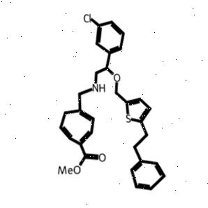 COC(=O)C1=CC=C(CNCC(OCc2ccc(CCc3ccccc3)s2)c2cccc(Cl)c2)CC=C1